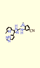 Cc1cccc(-c2[nH]c(CNc3cc(C#N)ccc3N(C)C)nc2-c2ccc3ncnn3c2)n1